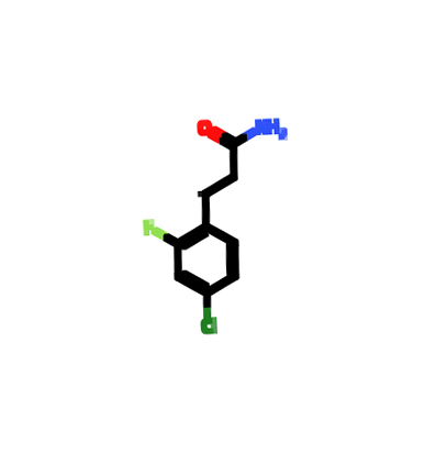 NC(=O)C[CH]c1ccc(Cl)cc1F